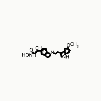 COc1ccc2[nH]cc(CCNC3CCc4cc(C(C)=CC(=O)NO)ccc43)c2c1